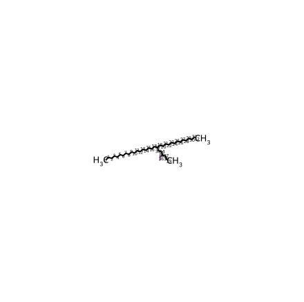 CCCCCCCCCCCCCCCCCCC(CCCCCCCCCCCCCC)CCC(I)CCC